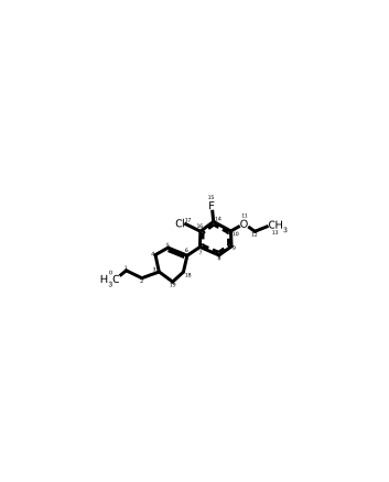 CCCC1CC=C(c2ccc(OCC)c(F)c2Cl)CC1